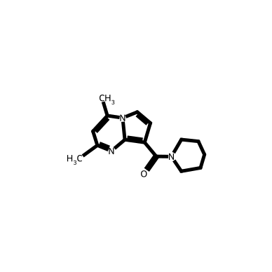 Cc1cc(C)n2ccc(C(=O)N3CCCCC3)c2n1